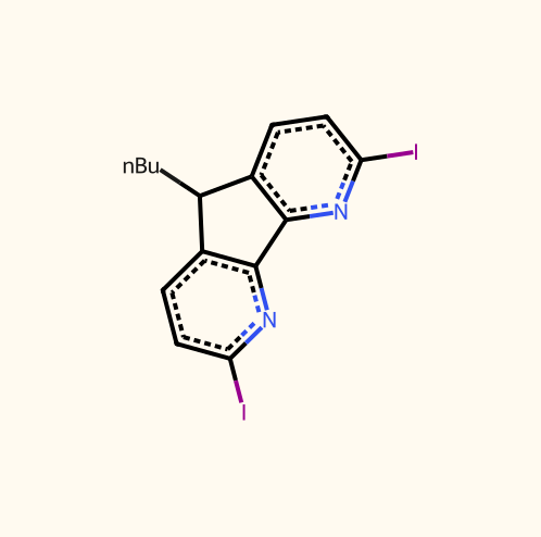 CCCCC1c2ccc(I)nc2-c2nc(I)ccc21